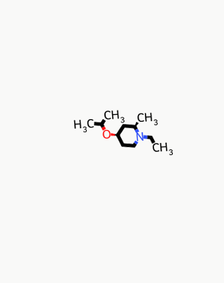 CCN1CC[C@@H](OC(C)C)C[C@H]1C